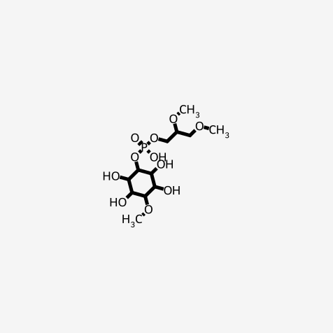 COCC(COP(=O)(O)OC1C(O)C(O)C(OC)C(O)C1O)OC